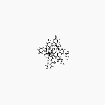 CCCC(=O)c1ccc(NC(=O)Nc2ccc(F)cc2)cc1.CCOC(=O)Cc1ccc(NC(=O)Nc2ccc(F)cc2)cc1.O=C(Nc1ccc(F)cc1)Nc1ccc(C(=O)c2ccccc2)cc1